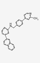 Cc1cc(-c2ccc(CNc3cccc(-c4ccc5ccccc5c4)c3)cc2)ccn1